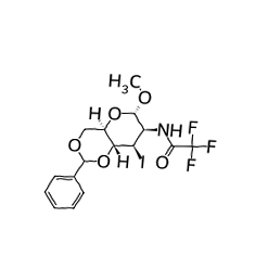 CO[C@H]1O[C@@H]2COC(c3ccccc3)O[C@H]2[C@H](I)[C@@H]1NC(=O)C(F)(F)F